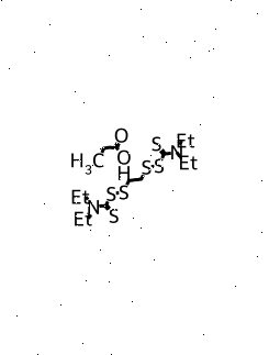 CCC(=O)O.CCN(CC)C(=S)SSCCSSC(=S)N(CC)CC